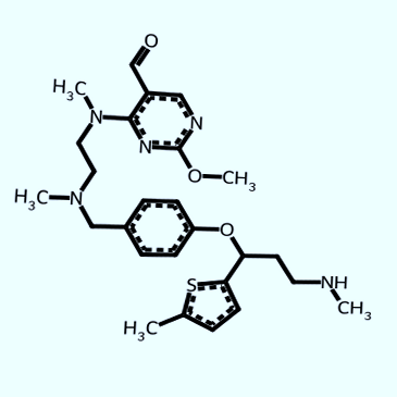 CNCCC(Oc1ccc(CN(C)CCN(C)c2nc(OC)ncc2C=O)cc1)c1ccc(C)s1